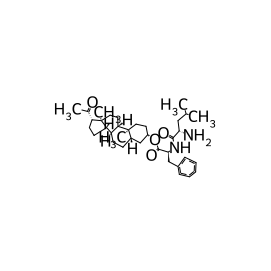 CC(=O)[C@H]1CC[C@H]2[C@@H]3CC[C@H]4C[C@H](OC(=O)[C@H](Cc5ccccc5)NC(=O)[C@@H](N)CC(C)C)CC[C@]4(C)[C@H]3CC[C@]12C